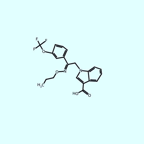 CCCON=C(Cn1cc(C(=O)O)c2ccccc21)c1cccc(OC(F)(F)F)c1